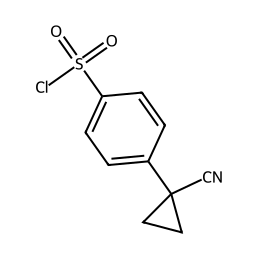 N#CC1(c2ccc(S(=O)(=O)Cl)cc2)CC1